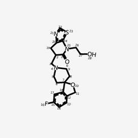 O=C1C(CN2CCC3(CC2)OCc2ccc(F)cc23)Cc2ncsc2N1CCO